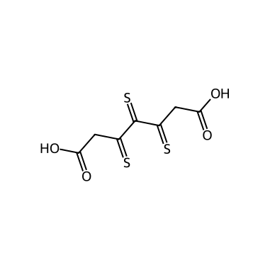 O=C(O)CC(=S)C(=S)C(=S)CC(=O)O